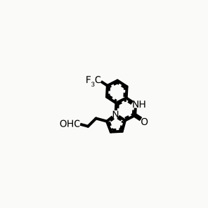 O=CCCc1ccc2c(=O)[nH]c3ccc(C(F)(F)F)cc3n12